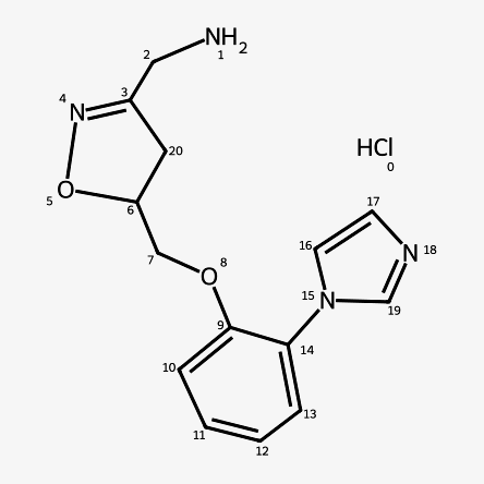 Cl.NCC1=NOC(COc2ccccc2-n2ccnc2)C1